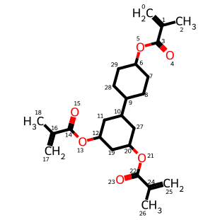 C=C(C)C(=O)OC1CCC(C2CC(OC(=O)C(=C)C)CC(OC(=O)C(=C)C)C2)CC1